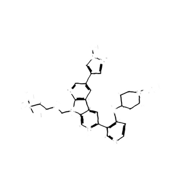 Cn1cc(-c2cnc3c(c2)c2cc(-c4cnccc4OC4CCN(C(=O)O)CC4)ncc2n3COCC[Si](C)(C)C)cn1